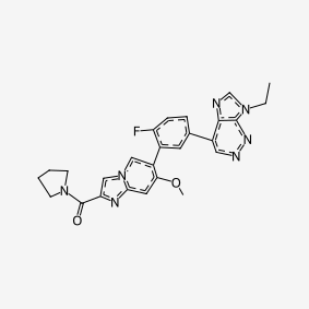 CCn1cnc2c(-c3ccc(F)c(-c4cn5cc(C(=O)N6CCCC6)nc5cc4OC)c3)cnnc21